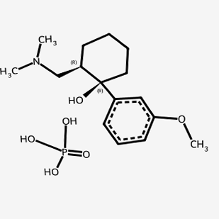 COc1cccc([C@@]2(O)CCCC[C@@H]2CN(C)C)c1.O=P(O)(O)O